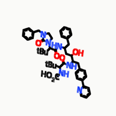 CC(C)(C)C(NC(=O)O)C(=O)NC(Cc1ccc(-c2ccccn2)cc1)C(O)CC(Cc1ccccc1)NC(=O)C(N1CCN(Cc2ccccc2)C1=O)C(C)(C)C